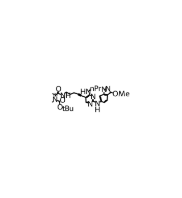 CCCNc1nc(Nc2ccc3c(OC)nn(C)c3c2)ncc1C#CCCCNC(=O)[C@H](C)N(C)C(=O)OC(C)(C)C